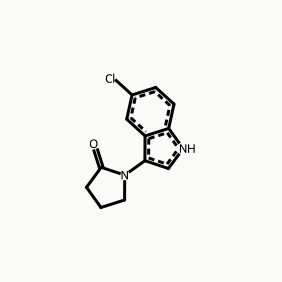 O=C1CCCN1c1c[nH]c2ccc(Cl)cc12